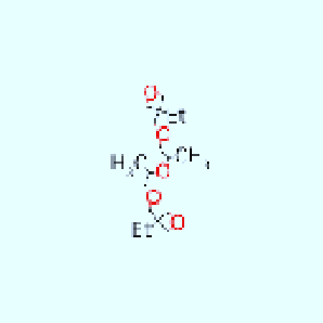 CCC1(COCC(C)OC(C)COCC2(CC)COC2)COC1